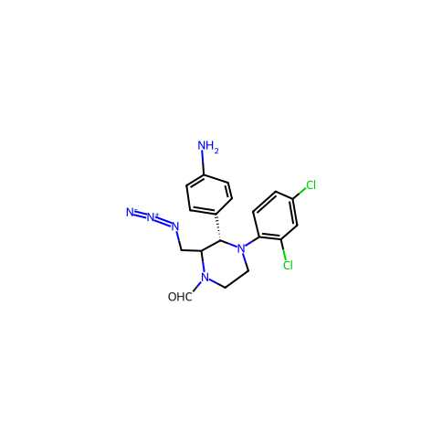 [N-]=[N+]=NCC1[C@H](c2ccc(N)cc2)N(c2ccc(Cl)cc2Cl)CCN1C=O